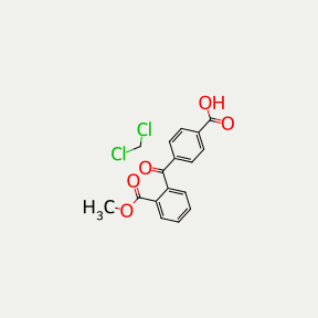 COC(=O)c1ccccc1C(=O)c1ccc(C(=O)O)cc1.ClCCl